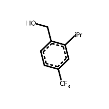 CC(C)c1cc(C(F)(F)F)ccc1CO